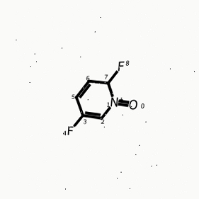 O=[N+]1C=C(F)C=CC1F